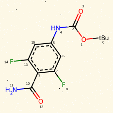 CC(C)(C)OC(=O)Nc1cc(F)c(C(N)=O)c(F)c1